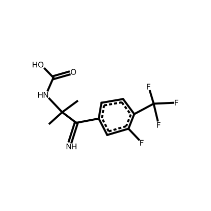 CC(C)(NC(=O)O)C(=N)c1ccc(C(F)(F)F)c(F)c1